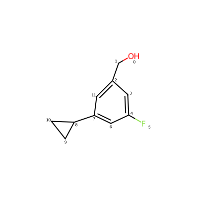 OCc1cc(F)cc(C2CC2)c1